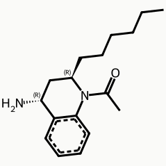 CCCCCC[C@@H]1C[C@@H](N)c2ccccc2N1C(C)=O